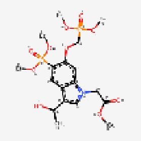 CCOP(=O)(COc1cc2c(cc1P(=O)(OCC)OCC)c(C(C)O)cn2CC(=O)OC(C)(C)C)OCC